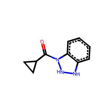 O=C(C1CC1)N1NNc2ccccc21